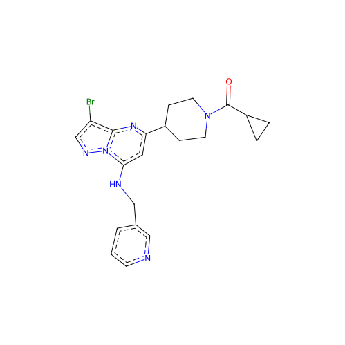 O=C(C1CC1)N1CCC(c2cc(NCc3cccnc3)n3ncc(Br)c3n2)CC1